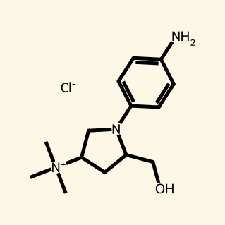 C[N+](C)(C)C1CC(CO)N(c2ccc(N)cc2)C1.[Cl-]